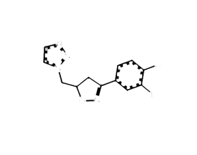 Fc1cc(C2=NOC(Cn3ccnn3)C2)ccc1Br